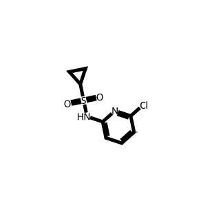 O=S(=O)(Nc1cc[c]c(Cl)n1)C1CC1